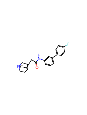 O=C(CC1CN2CCC1CC2)Nc1cccc(-c2ccc(F)cc2)c1